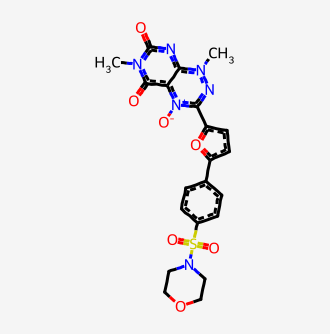 Cn1nc(-c2ccc(-c3ccc(S(=O)(=O)N4CCOCC4)cc3)o2)[n+]([O-])c2c(=O)n(C)c(=O)nc1-2